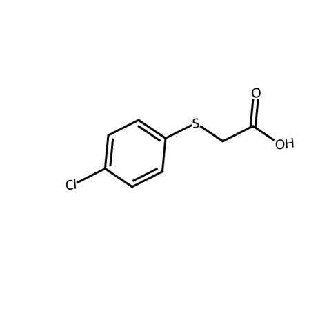 O=C(O)CSc1ccc(Cl)cc1